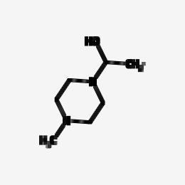 [CH2]C(O)N1CCN(C)CC1